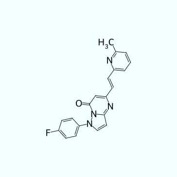 Cc1cccc(/C=C/c2cc(=O)n3c(ccn3-c3ccc(F)cc3)n2)n1